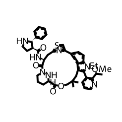 CCn1c(-c2cccnc2[C@H](C)OC)c2c3cc(ccc31)-c1csc(n1)C[C@H](NC(=O)[C@H]1CCN[C@@H]1c1ccccc1)C(=O)N1CCC[C@H](N1)C(=O)OCC(C)(C)C2